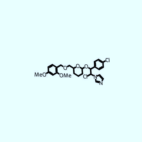 COc1ccc(COCC2CCCC(OC(c3ccc(Cl)cc3)C(Cl)n3ccnc3)O2)c(OC)c1